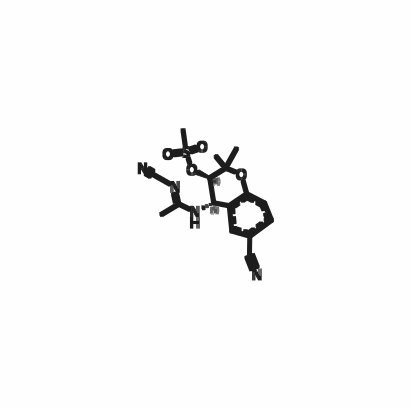 CC(=NC#N)N[C@H]1c2cc(C#N)ccc2OC(C)(C)[C@@H]1OS(C)(=O)=O